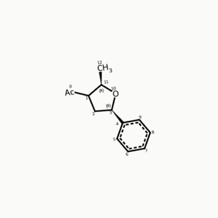 CC(=O)C1C[C@H](c2ccccc2)O[C@@H]1C